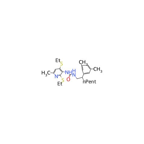 CCCCCC(CNC(=O)Nc1c(SCC)cc(C)nc1SCC)c1cc(C)cc(C)c1